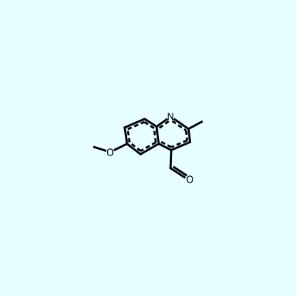 COc1ccc2nc(C)cc(C=O)c2c1